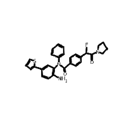 Nc1ccc(-c2cccs2)cc1N(C(=O)c1ccc(C(F)C(=O)N2CCCC2)cc1)c1ccccc1